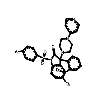 CCOc1ccccc1C1(N2CCN(c3ccncc3)CC2)C(=O)N(S(=O)(=O)c2ccc(C(C)=O)cc2)c2ccc(C#N)cc21